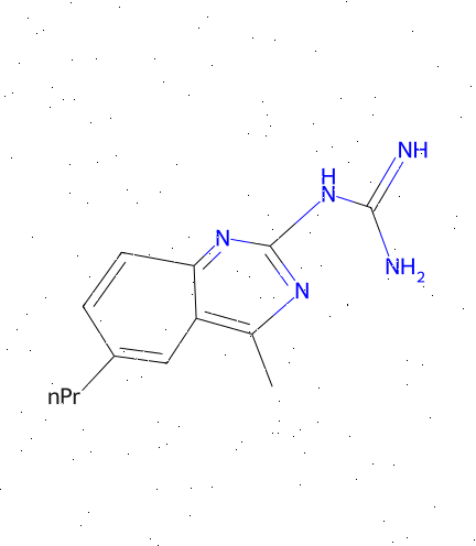 CCCc1ccc2nc(NC(=N)N)nc(C)c2c1